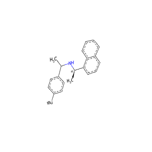 CC(N[C@H](C)c1cccc2ccccc12)c1ccc(C(C)(C)C)cc1